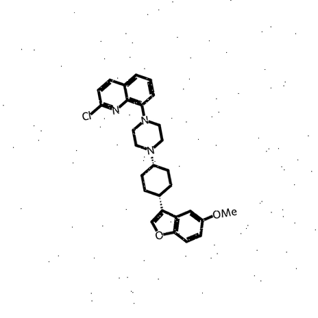 COc1ccc2occ([C@H]3CC[C@@H](N4CCN(c5cccc6ccc(Cl)nc56)CC4)CC3)c2c1